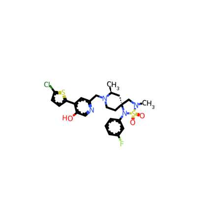 C[C@H]1C[C@]2(CCN1Cc1cc(-c3ccc(Cl)s3)c(O)cn1)CN(C)S(=O)(=O)N2c1cccc(F)c1